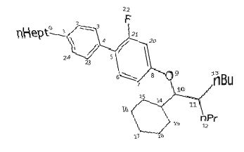 CCCCCCCc1ccc(-c2ccc(OC(C(CCC)CCCC)C3CCCCC3)cc2F)cc1